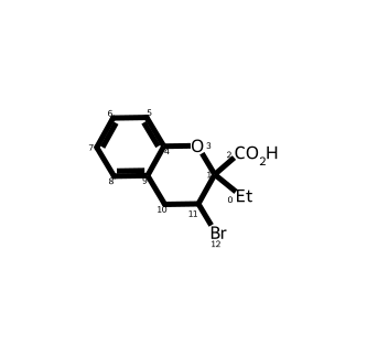 CCC1(C(=O)O)Oc2ccccc2CC1Br